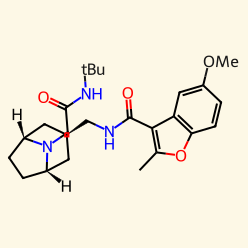 COc1ccc2oc(C)c(C(=O)NC[C@@H]3C[C@H]4CC[C@@H](C3)N4CC(=O)NC(C)(C)C)c2c1